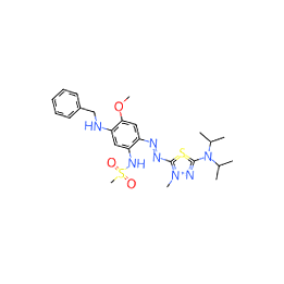 COc1cc(N=Nc2sc(N(C(C)C)C(C)C)n[n+]2C)c(NS(C)(=O)=O)cc1NCc1ccccc1